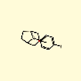 CN1CC2CCC(C1)N2c1ccc(I)cc1